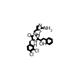 Nc1ncc(CNC(=O)[C@H](Cc2ccc(Cl)c(Cl)c2)NC(=O)[C@H](O)Cc2ccccc2)s1